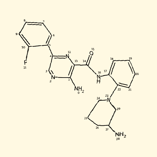 Nc1ncc(-c2ccccc2F)nc1C(=O)Nc1ccccc1N1CCCC(N)C1